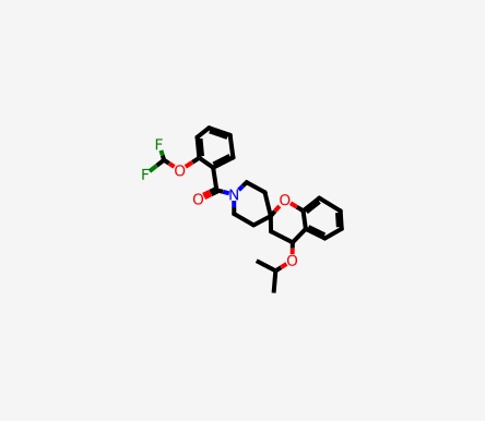 CC(C)OC1CC2(CCN(C(=O)c3ccccc3OC(F)F)CC2)Oc2ccccc21